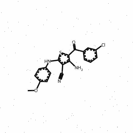 COc1ccc(Nc2sc(C(=O)c3cccc(Cl)c3)c(N)c2C#N)cc1